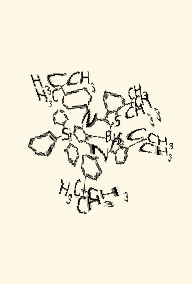 CC(C)(C)c1ccc(N2c3cc([Si](c4ccccc4)(c4ccccc4)c4ccccc4)cc4c3B(c3sc5c(C(C)(C)C)cccc5c32)c2sc3c(C(C)(C)C)cccc3c2N4c2ccc(C(C)(C)C)cc2)cc1